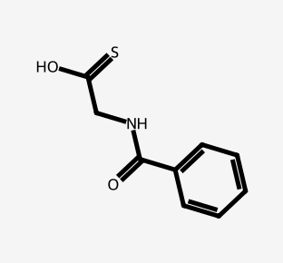 O=C(NCC(O)=S)c1ccccc1